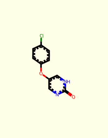 O=c1ncc(Oc2ccc(Cl)cc2)c[nH]1